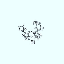 CCn1c(-c2ccco2)nnc1C(S)c1nc(-c2cccc(Cl)c2)no1